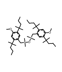 CCCC(C)(C)c1cc(OC)c(C(C)(C)CCC)cc1C[Si](C)(C)O[Si](C)(C)Cc1cc(C(C)(C)CCC)c(OC)cc1C(C)(C)CCC